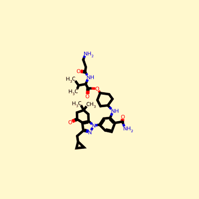 CC(C)C(NC(=O)CCN)C(=O)OC1CCC(Nc2cc(-n3nc(CC4CC4)c4c3CC(C)(C)CC4=O)ccc2C(N)=O)CC1